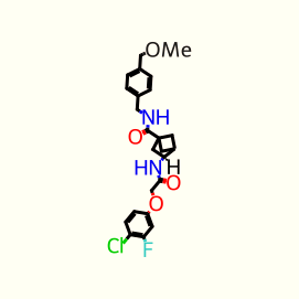 COCc1ccc(CNC(=O)C23CC(C2)[C@@H](NC(=O)COc2ccc(Cl)c(F)c2)C3)cc1